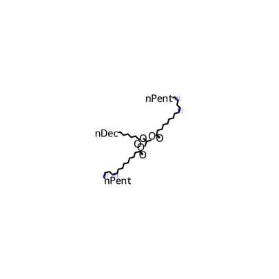 CCCCC/C=C\C/C=C\CCCCCCCC(=O)OCC(COC(=O)CCCCCCC/C=C\C/C=C\CCCCC)OC(=O)CCCCCCCCCCCCCCC